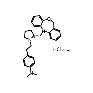 CN(C)c1ccc(CCN2CCC[C@@H]2CN2c3ccccc3COc3ccccc32)cc1.Cl.Cl